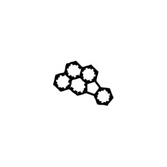 c1ccc2c(c1)-c1ccc3ccc4cccc5cc-2c1c3c45